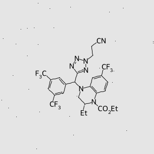 CCOC(=O)N1c2ccc(C(F)(F)F)cc2N(C(c2cc(C(F)(F)F)cc(C(F)(F)F)c2)c2nnn(CCC#N)n2)CC1CC